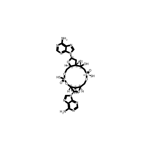 CC[C@@]1(O)C[P@](=O)(S)OC[C@H]2O[C@@H](n3cnc4c(N)ncnc43)[C@H](OP(=O)(S)OC[C@H]3O[C@@H](n4cnc5c(N)ncnc54)C[C@@H]31)[C@@H]2O